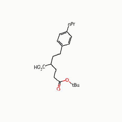 CCCc1ccc(CCC(CCC(=O)OC(C)(C)C)C(=O)O)cc1